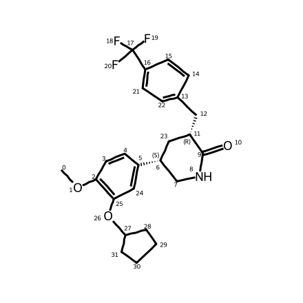 COc1ccc([C@H]2CNC(=O)[C@@H](Cc3ccc(C(F)(F)F)cc3)C2)cc1OC1CCCC1